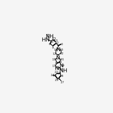 C=C(c1ccc(NN)cc1)N1CCC(N2Cc3cnc(Nc4cc(C)cc(C)c4)nc3C2)CC1